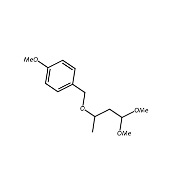 COc1ccc(COC(C)CC(OC)OC)cc1